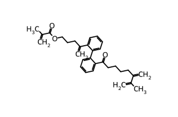 C=C(C)C(=C)CCCCC(=O)c1ccccc1-c1ccccc1C(=C)CCCOC(=O)C(=C)C